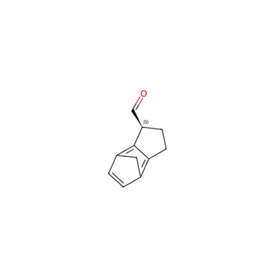 O=C[C@H]1CCC2=C3C=CC(=C21)C3